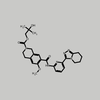 COc1cc2c(cc1C(=O)Nc1cccc(-c3nnc4n3CCCC4)n1)CN(C(=O)OCC(C)(C)O)CC2